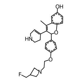 CC1=C(C2=CCNCC2)C(c2ccc(OCCN3CC(CF)C3)cc2)Oc2ccc(O)cc21